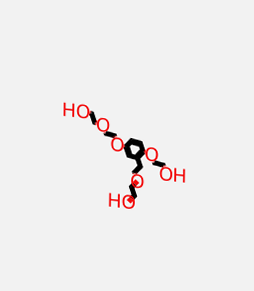 OCCOCCOc1ccc(OCCO)c(CCOCCO)c1